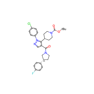 CC(C)(C)OC(=O)N1CCC(c2c(C(=O)N3CC[C@H](c4ccc(F)cc4)C3)cnn2-c2ccc(Cl)cc2)CC1